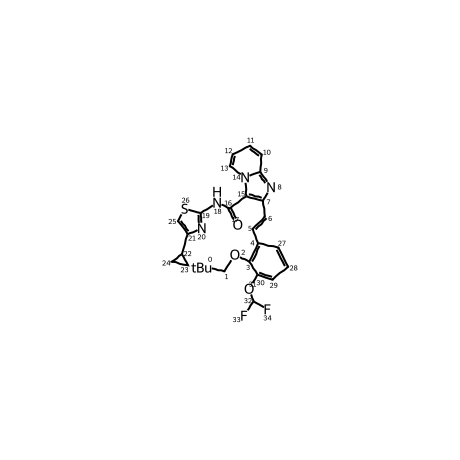 CC(C)(C)COc1c(C=Cc2nc3ccccn3c2C(=O)Nc2nc(C3CC3)cs2)cccc1OC(F)F